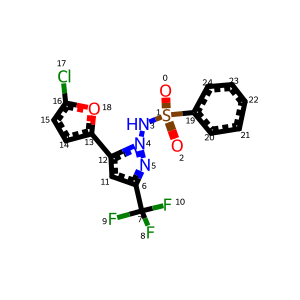 O=S(=O)(Nn1nc(C(F)(F)F)cc1-c1ccc(Cl)o1)c1ccccc1